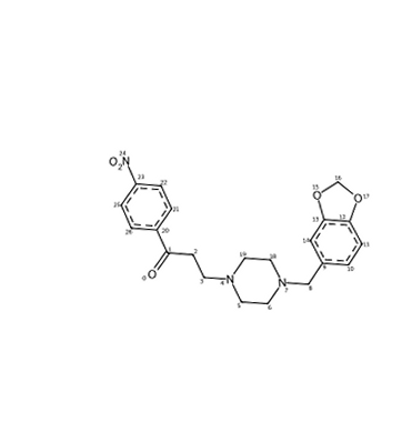 O=C(CCN1CCN(Cc2ccc3c(c2)OCO3)CC1)c1ccc([N+](=O)[O-])cc1